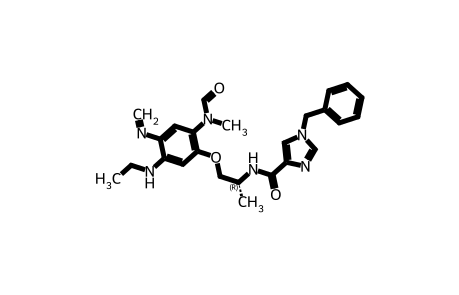 C=Nc1cc(N(C)C=O)c(OC[C@@H](C)NC(=O)c2cn(Cc3ccccc3)cn2)cc1NCC